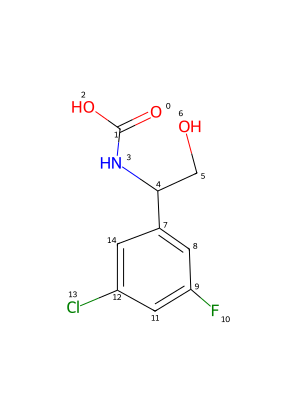 O=C(O)NC(CO)c1cc(F)cc(Cl)c1